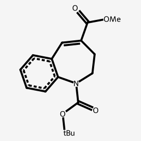 COC(=O)C1=Cc2ccccc2N(C(=O)OC(C)(C)C)CC1